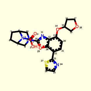 O=C(O)N1C2CCC1CN(c1nc3c(OC4CCOC4)ccc(-c4nccs4)c3o1)C2